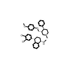 CN[C@H]1CC[C@@H](c2ccc(Cl)c(Cl)c2)c2ccccc21.COc1ccc(OC[C@H]2CN(C)CC[C@@H]2c2ccccc2)cc1